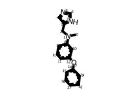 CN(Cc1cnc[nH]1)c1cccc(Oc2ccccc2)c1